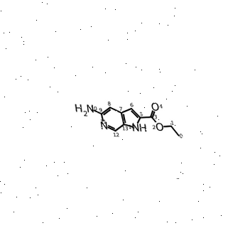 CCOC(=O)c1cc2cc(N)ncc2[nH]1